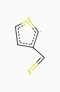 S=Cc1[c]scc1